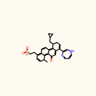 CC1C=CC(CC[SH](=O)=O)=c2ccc3c(c21)C(=O)C=C1C(C2=CNC=CC=N2)=CCC(CC2CC2)C=31